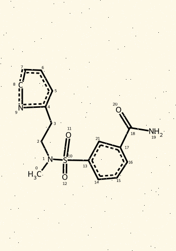 CN(CCc1ccccn1)S(=O)(=O)c1cccc(C(N)=O)c1